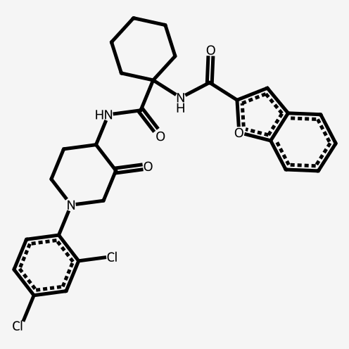 O=C(NC1(C(=O)NC2CCN(c3ccc(Cl)cc3Cl)CC2=O)CCCCC1)c1cc2ccccc2o1